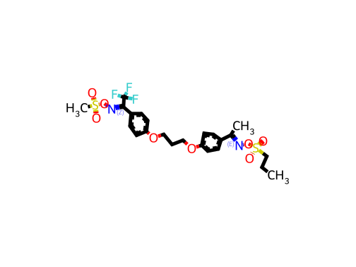 CCCS(=O)(=O)O/N=C(\C)c1ccc(OCCCOc2ccc(/C(=N/OS(C)(=O)=O)C(F)(F)F)cc2)cc1